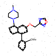 COc1ccccc1-c1cc(OCc2ncon2)cc2c(N3CCN(C)CC3)cccc12